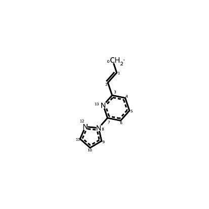 [CH2]/C=C/c1cccc(-n2cccn2)n1